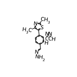 C#N.C#N.Cc1nc(C)c(-c2ccc(C=NN)cc2)s1